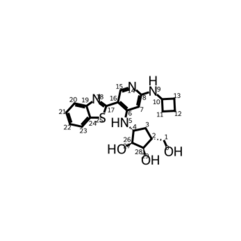 OC[C@H]1C[C@@H](Nc2cc(NC3CCC3)ncc2-c2nc3ccccc3s2)[C@H](O)[C@@H]1O